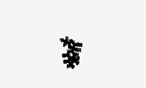 CC(O)C(O)(OC(=O)C(F)(F)F)C(CC(=O)OC(=O)C(F)(F)F)NC(=O)C(F)(F)F